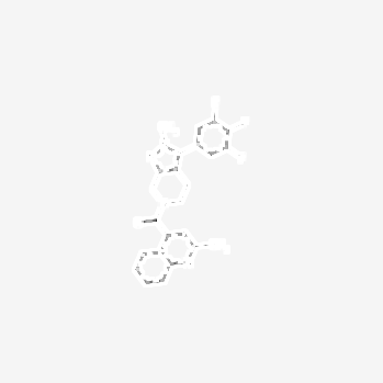 Cc1cc(C(=O)N2CCc3c(nn(C)c3-c3cc(F)c(F)c(F)c3)C2)c2ccccc2n1